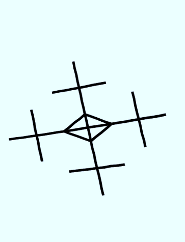 CC(C)(C)C12C3(C(C)(C)C)C1(C(C)(C)C)C23C(C)(C)C